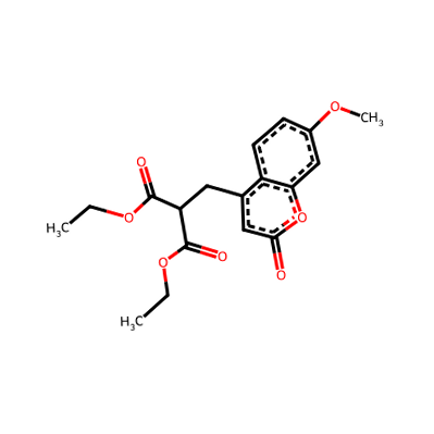 CCOC(=O)C(Cc1cc(=O)oc2cc(OC)ccc12)C(=O)OCC